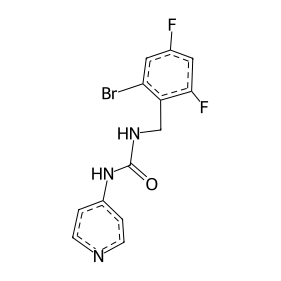 O=C(NCc1c(F)cc(F)cc1Br)Nc1ccncc1